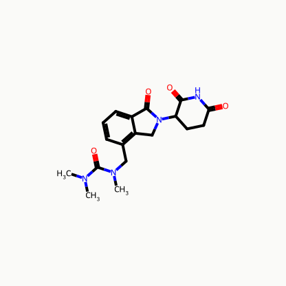 CN(C)C(=O)N(C)Cc1cccc2c1CN(C1CCC(=O)NC1=O)C2=O